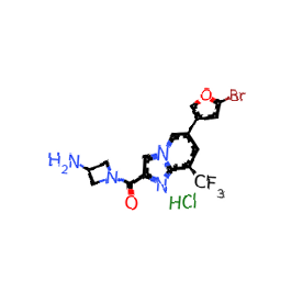 Cl.NC1CN(C(=O)c2cn3cc(-c4coc(Br)c4)cc(C(F)(F)F)c3n2)C1